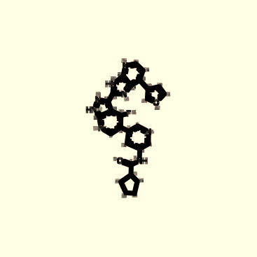 O=C(Nc1cncc(-c2cnc3[nH]nc(-c4nc5c(-c6ccoc6)ccnc5[nH]4)c3c2F)c1)C1CCCC1